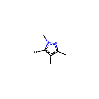 CCc1c(C)c(C)nn1C